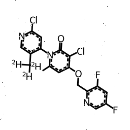 [2H]C([2H])([2H])c1cnc(Cl)cc1-n1c(C)cc(OCc2ncc(F)cc2F)c(Cl)c1=O